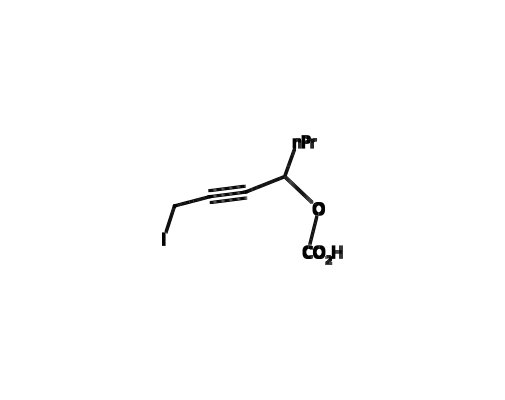 CCCC(C#CCI)OC(=O)O